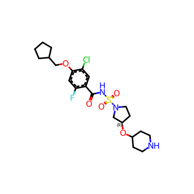 O=C(NS(=O)(=O)N1CC[C@@H](OC2CCNCC2)C1)c1cc(Cl)c(OCC2CCCC2)cc1F